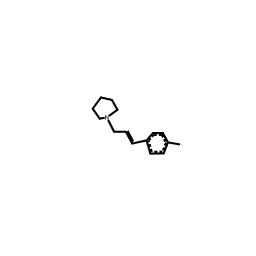 [CH2]c1ccc(/C=C/CN2CCCCC2)cc1